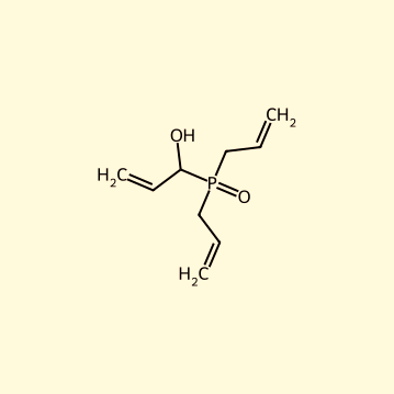 C=CCP(=O)(CC=C)C(O)C=C